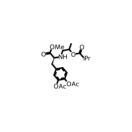 COC(=O)[C@H](Cc1ccc(OC(C)=O)c(OC(C)=O)c1)NCC(C)OC(=O)C(C)C